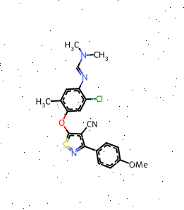 COc1ccc(-c2nsc(Oc3cc(Cl)c(N=CN(C)C)cc3C)c2C#N)cc1